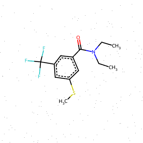 CCN(CC)C(=O)c1cc(SC)cc(C(F)(F)F)c1